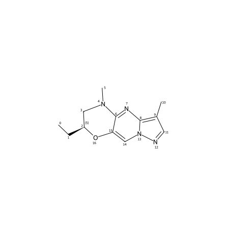 CC[C@H]1CN(C)c2nc3c(C)cnn3cc2O1